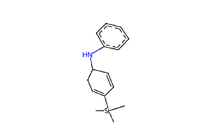 C[Si](C)(C)C1=CCC(Nc2ccccc2)C=C1